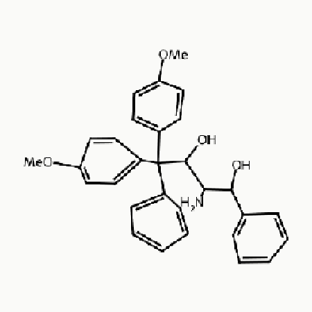 COc1ccc(C(c2ccccc2)(c2ccc(OC)cc2)C(O)C(N)C(O)c2ccccc2)cc1